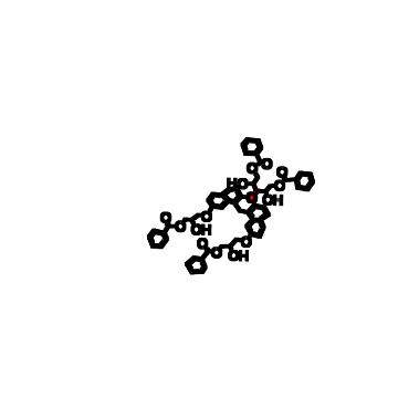 O=C(OCC(O)COc1ccc2ccc(OCC(O)COC(=O)c3ccccc3)c(Cc3c(OCC(O)COC(=O)c4ccccc4)ccc4ccc(OCC(O)COC(=O)c5ccccc5)cc34)c2c1)c1ccccc1